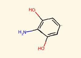 Nc1c(O)c[c]cc1O